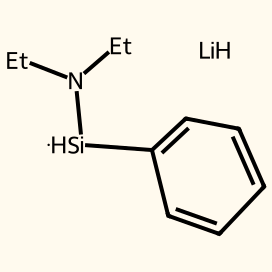 CCN(CC)[SiH]c1ccccc1.[LiH]